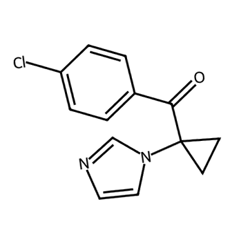 O=C(c1ccc(Cl)cc1)C1(n2ccnc2)CC1